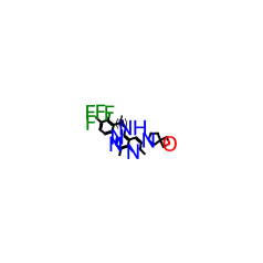 Cc1nc2c(C)nnc(N[C@H](C)c3cccc(C(F)(F)F)c3F)c2cc1N1CCC2(COC2)C1